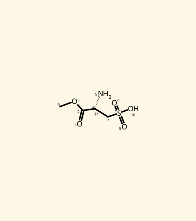 COC(=O)[C@H](N)CS(=O)(=O)O